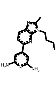 CCCCn1c(C)nc2ccc(-c3cc(N)nc(N)c3)nc21